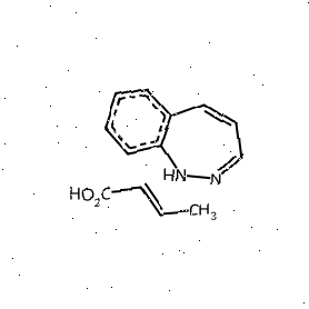 C1=Cc2ccccc2NN=C1.CC=CC(=O)O